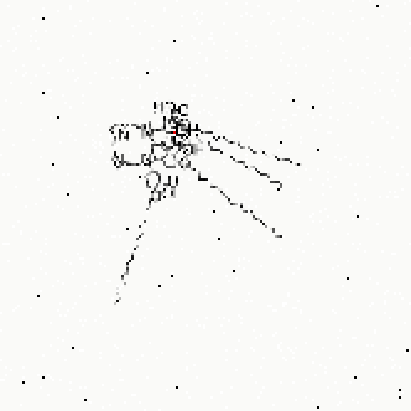 CCCCCCCCCCCCCCCCCCOc1ccc(C2=CC3=CC4=NC(=CC5=NC(=CC6=NC(=C(c7ccc(OCCCCCCCCCCCCCCCCCC)c(C(=O)O)c7)C2=N3)C(c2ccc(OCCCCCCCCCCCCCCCCCC)c(C(=O)O)c2)=C6c2ccc(OCCCCCCCCCCCCCCCCCC)c(C(=O)O)c2)C=C5)C=C4)cc1C(=O)O